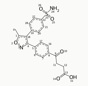 Cc1onc(-c2ccc(C(=O)CCC(=O)O)cc2)c1-c1ccc(S(N)(=O)=O)cc1